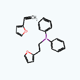 C=Cc1ccco1.c1ccc(P(CCc2ccco2)c2ccccc2)cc1